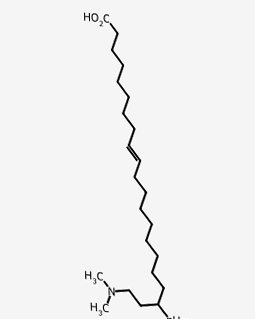 CCCCCCC(CCCCCCCCC=CCCCCCCCC(=O)O)CCN(C)C